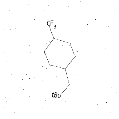 CC(C)(C)CC1CCC(C(F)(F)F)CC1